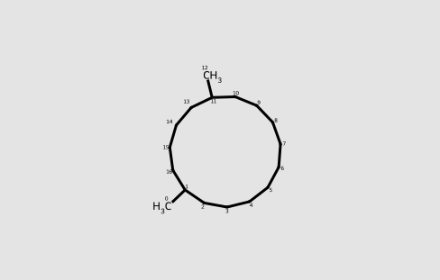 CC1CCCCCCCCCC(C)CCCC1